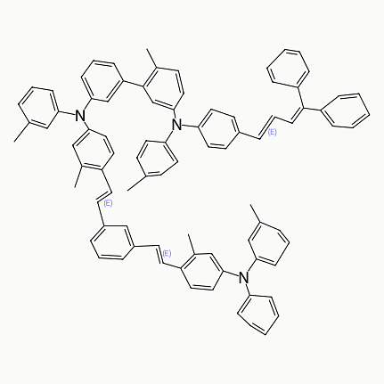 Cc1ccc(N(c2ccc(/C=C/C=C(c3ccccc3)c3ccccc3)cc2)c2ccc(C)c(-c3cccc(N(c4cccc(C)c4)c4ccc(/C=C/c5cccc(/C=C/c6ccc(N(c7ccccc7)c7cccc(C)c7)cc6C)c5)c(C)c4)c3)c2)cc1